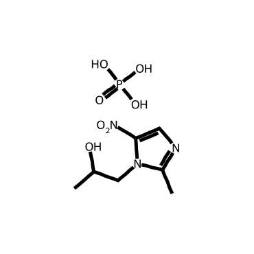 Cc1ncc([N+](=O)[O-])n1CC(C)O.O=P(O)(O)O